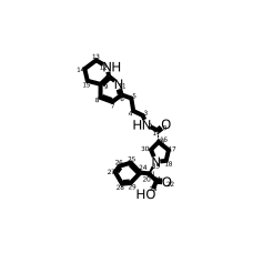 O=C(NCCCc1ccc2c(n1)NCCC2)[C@@H]1CCN([C@@H](C(=O)O)c2ccccc2)C1